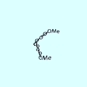 COCCOCCOCCOc1cccc(OCCOCCOCCOC)c1